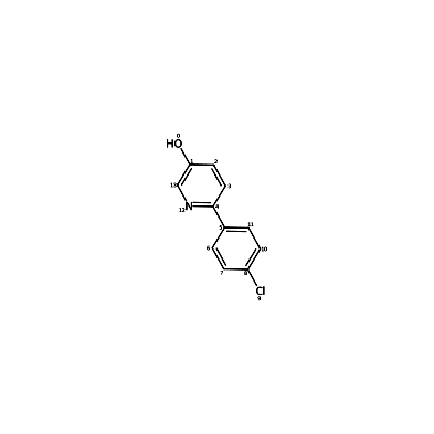 Oc1ccc(-c2ccc(Cl)cc2)nc1